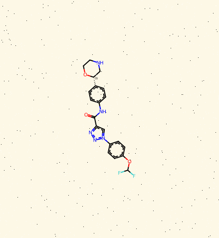 O=C(Nc1ccc([C@H]2CNCCO2)cc1)c1cn(-c2ccc(OC(F)F)cc2)nn1